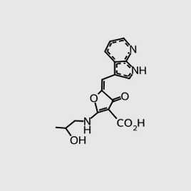 CC(O)CNC1=C(C(=O)O)C(=O)C(=Cc2c[nH]c3ncccc23)O1